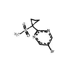 CS(=O)(=O)C1(c2ncc(Br)cn2)CC1